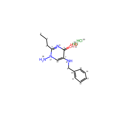 CCCc1nc(=O)c(NCc2ccccc2)cn1N.Cl.Cl.O